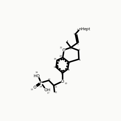 CCCCCCC/C=C/C1(C)CCc2cc(OC(C)CP(=O)(O)O)ccc2O1